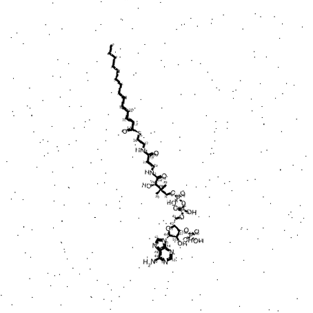 CCCCCCCCCCC/C=C/C(=O)SCCNC(=O)CCNC(=O)[C@H](O)C(C)(C)COP(=O)(O)OP(=O)(O)OC[C@H]1O[C@@H](n2cnc3c(N)ncnc32)C(O)[C@H]1OP(=O)(O)O